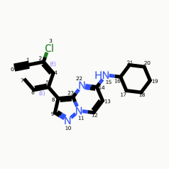 C#C/C(Cl)=C\C(=C/C)c1cnn2ccc(NC3CCCCC3)nc12